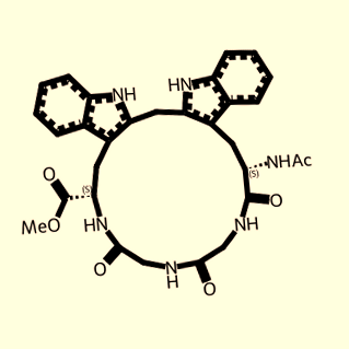 COC(=O)[C@@H]1Cc2c([nH]c3ccccc23)Cc2[nH]c3ccccc3c2C[C@H](NC(C)=O)C(=O)NCC(=O)NCC(=O)N1